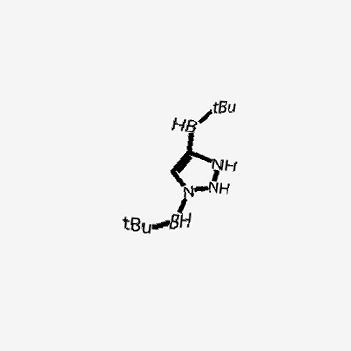 CC(C)(C)BC1=CN(BC(C)(C)C)NN1